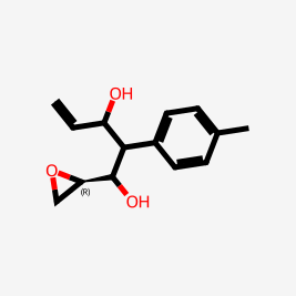 C=CC(O)C(c1ccc(C)cc1)C(O)[C@H]1CO1